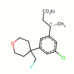 CCOC(=O)C[C@H](C)c1cc(Cl)cc(C2(CF)CCOCC2)c1